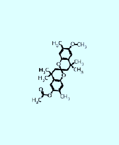 COc1cc2c(cc1C)OC1(CC2(C)C)CC(C)(C)c2cc(OC(C)=O)c(C)cc2O1